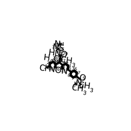 CCN(C)C(=O)c1ccc(-c2ccc3c(n2)Oc2nc(Cl)ccc2C3C(C)(C)C(=O)Nc2nncs2)cc1